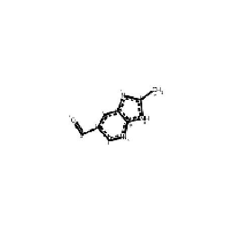 Cc1nc2cc(C=O)cnc2[nH]1